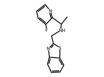 CC(NCc1nc2ccccc2s1)c1ncccc1F